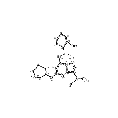 CC(C)c1cnn2c(N[C@@H](C)c3ccccc3O)nc(OC3CCCNC3)nc12